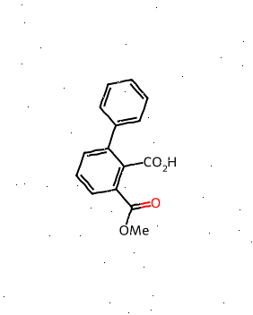 COC(=O)c1cccc(-c2ccccc2)c1C(=O)O